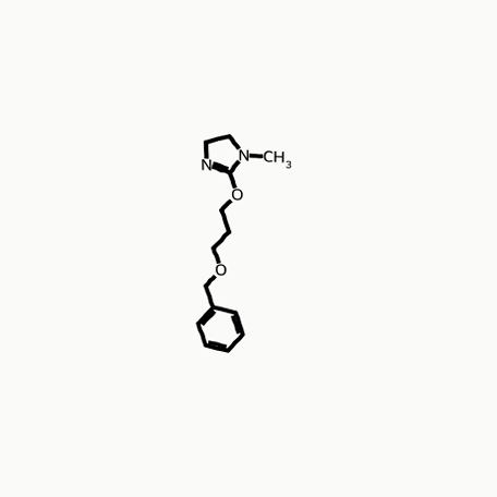 CN1CCN=C1OCCCOCc1ccccc1